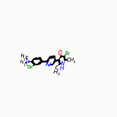 Cc1[nH]c(C)c(-c2ccc(-c3ccc(N(C)C)c(Br)c3)nc2)c(=O)c1Br